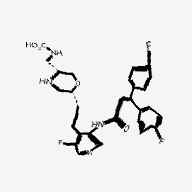 O=C(O)NC[C@@H]1CO[C@H](CCc2c(F)cncc2NC(=O)CC(c2ccc(F)cc2)c2ccc(F)cc2)CN1